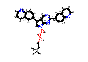 C[Si](C)(C)CCOOOn1cc(-c2ccc3ncccc3c2)c2cnc(-c3ccc4ncccc4c3)nc21